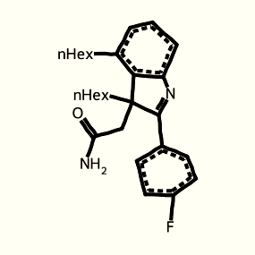 CCCCCCc1cccc2c1C(CCCCCC)(CC(N)=O)C(c1ccc(F)cc1)=N2